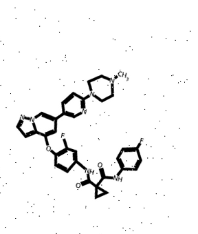 CN1CCN(c2ccc(-c3cc(Oc4ccc(NC(=O)C5(C(=O)Nc6ccc(F)cc6)CC5)cc4F)c4ccnn4c3)cn2)CC1